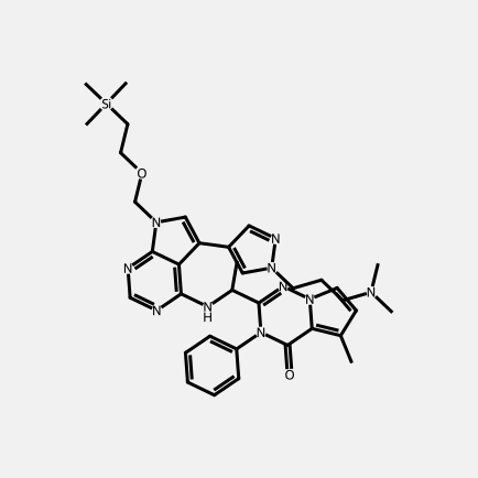 Cc1ccn2nc(C(C)Nc3ncnc4c3c(-c3cnn(CCCN(C)C)c3)cn4COCC[Si](C)(C)C)n(-c3ccccc3)c(=O)c12